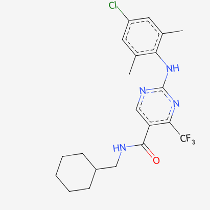 Cc1cc(Cl)cc(C)c1Nc1ncc(C(=O)NCC2CCCCC2)c(C(F)(F)F)n1